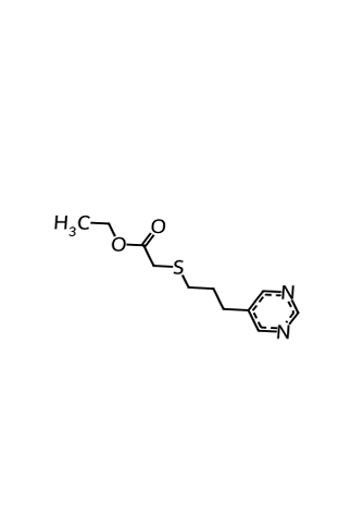 CCOC(=O)CSCCCc1cncnc1